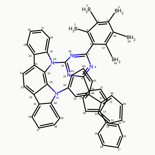 Bc1c(B)c(B)c(-c2nc(-c3ccc(-c4ccccc4)cc3)nc(-n3c4ccccc4c4ccc5c6ccccc6n(-c6cccc(-c7ccccc7)c6)c5c43)n2)c(B)c1B